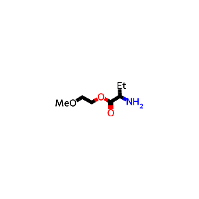 CCC(N)C(=O)OCCOC